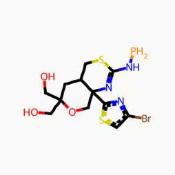 OCC1(CO)CC2CSC(NP)=NC2(c2nc(Br)cs2)CO1